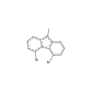 Cn1c2cccc(Br)c2c2c(Br)cccc21